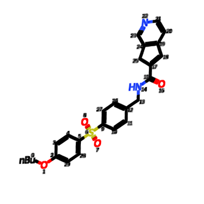 CCCCOc1ccc(S(=O)(=O)c2ccc(CNC(=O)C3=Cc4ccncc4C3)cc2)cc1